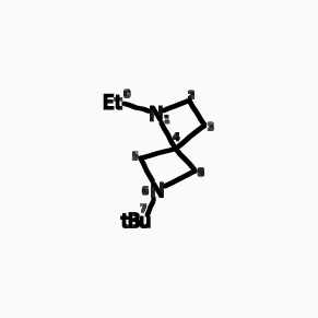 CCN1CCC12CN(C(C)(C)C)C2